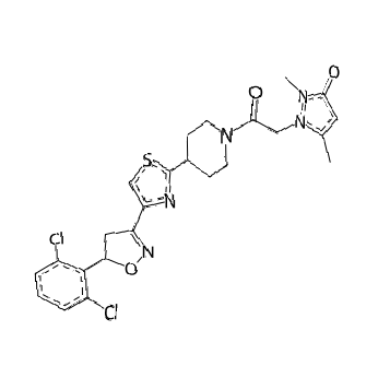 Cc1cc(=O)n(C)n1CC(=O)N1CCC(c2nc(C3=NOC(c4c(Cl)cccc4Cl)C3)cs2)CC1